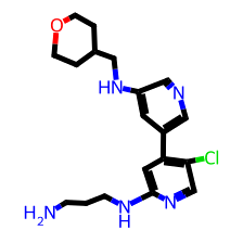 NCCCNc1cc(-c2cncc(NCC3CCOCC3)c2)c(Cl)cn1